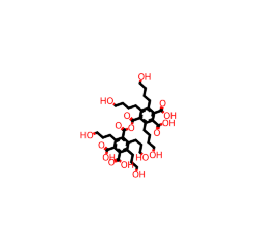 O=C(OC(=O)c1c(CCCCO)c(CCCCO)c(C(=O)O)c(C(=O)O)c1CCCCO)c1c(CCCO)c(CCCO)c(C(=O)O)c(C(=O)O)c1CCCO